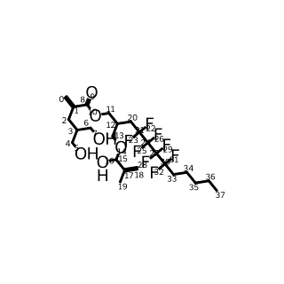 C=C(CC(CO)CO)C(=O)OCC(COC(O)C(=C)C)CC(F)(F)C(F)(F)C(F)(F)C(F)(F)CCCCC